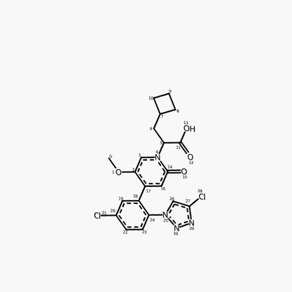 COc1cn(C(CC2CCC2)C(=O)O)c(=O)cc1-c1cc(Cl)ccc1-n1cc(Cl)nn1